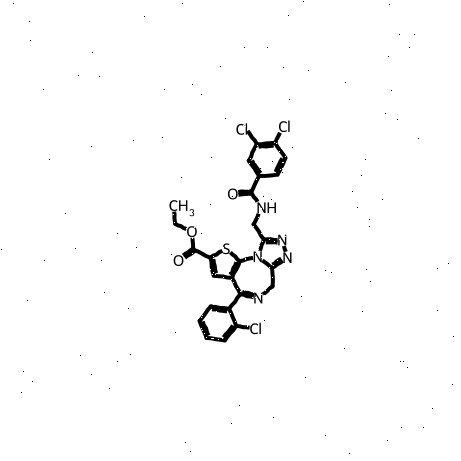 CCOC(=O)c1cc2c(s1)-n1c(nnc1CNC(=O)c1ccc(Cl)c(Cl)c1)CN=C2c1ccccc1Cl